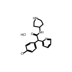 Cl.O=C(NC1CCNCC1)C(c1ccc(Cl)cc1)c1ccccn1